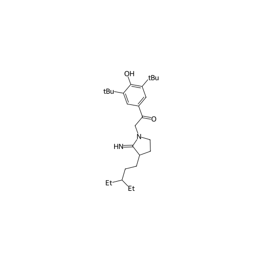 CCC(CC)CCC1CCN(CC(=O)c2cc(C(C)(C)C)c(O)c(C(C)(C)C)c2)C1=N